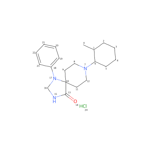 CC1CCCCC1N1CCC2(CC1)C(=O)NCN2c1ccccc1.Cl